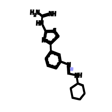 N=C(N)Nc1nc(-c2cccc(/N=C/NC3CCCCC3)c2)cs1